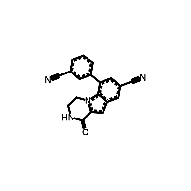 N#Cc1cccc(-c2cc(C#N)cc3cc4n(c23)CCNC4=O)c1